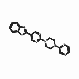 [c]1nc(N2CCN(c3cnccn3)CC2)ncc1-c1nc2ccccc2s1